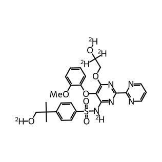 [2H]OCC(C)(C)c1ccc(S(=O)(=O)N([2H])c2nc(-c3ncccn3)nc(OCC([2H])([2H])O[2H])c2Oc2ccccc2OC)cc1